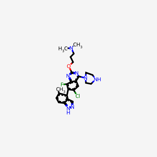 Cc1ccc2[nH]ncc2c1-c1c(Cl)cc2c(N3CCNCC3)nc(OCCCN(C)C)nc2c1F